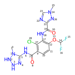 CN1NNN=C1NC(=O)c1ccc(OC(F)F)c(NC(=O)c2ncn(C)n2)c1Cl